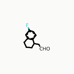 O=CCC1CCCc2cc(F)ccc21